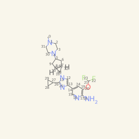 CN1CCN(C2C[C@@H]3[C@H](C2)[C@H]3n2cc(-c3cnc(N)c(OC(F)F)c3)nc2C2CC2)CC1